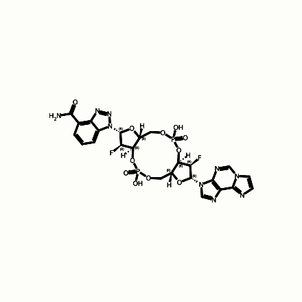 NC(=O)c1cccc2c1nnn2[C@@H]1O[C@@H]2COP(=O)(O)O[C@H]3[C@@H](F)[C@H](n4cnc5c4ncn4ccnc54)O[C@@H]3COP(=O)(O)O[C@H]2[C@H]1F